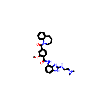 COc1cc(C(=O)N2CCCCc3ccccc32)ccc1C(=O)Nc1cccc2[nH]c(NCCN(C)C)nc12